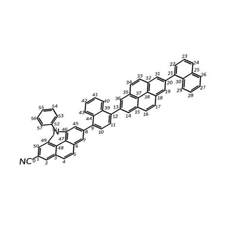 N#Cc1cc2ccc3cc(-c4ccc(-c5cc6ccc7cc(-c8cccc9ccccc89)cc8ccc(c5)c6c78)c5ccccc45)cc4c3c2c(c1)n4-c1ccccc1